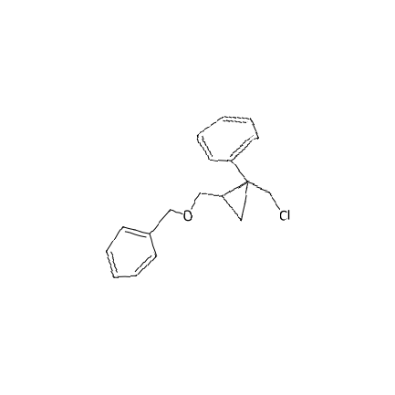 ClCC1(c2ccccc2)CC1COCc1ccccc1